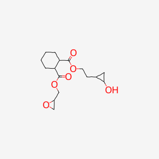 O=C(OCCC1CC1O)C1CCCCC1C(=O)OCC1CO1